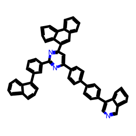 c1cc(-c2nc(-c3ccc(-c4ccc(-c5cncc6ccccc56)cc4)cc3)cc(-c3cc4ccccc4c4ccccc34)n2)cc(-c2cccc3ccccc23)c1